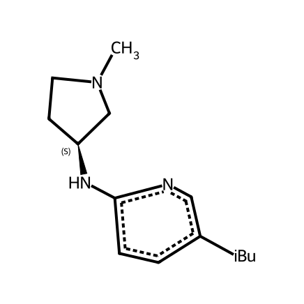 CCC(C)c1ccc(N[C@H]2CCN(C)C2)nc1